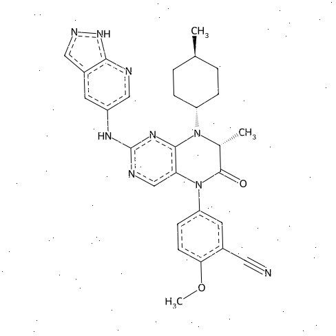 COc1ccc(N2C(=O)[C@@H](C)N([C@H]3CC[C@H](C)CC3)c3nc(Nc4cnc5[nH]ncc5c4)ncc32)cc1C#N